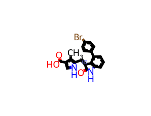 Cc1c(C(=O)O)c[nH]c1/C=C1\C(=O)Nc2cccc(-c3ccc(Br)cc3)c21